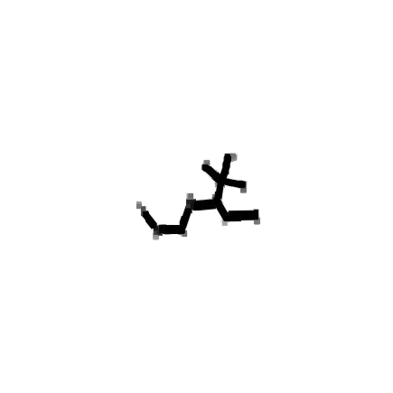 C=C/C(=N\C=N/I)C(C)(C)C